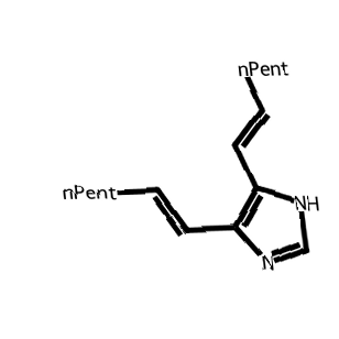 CCCCCC=Cc1nc[nH]c1C=CCCCCC